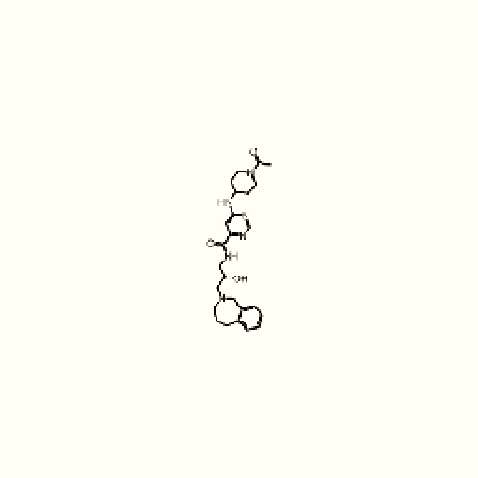 CC(=O)N1CCC(Nc2cc(C(=O)NC[C@H](O)CN3CCCc4ccccc4C3)ncn2)CC1